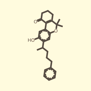 CC(CCCc1ccccc1)c1cc2c(cc1O)C1=C(CCCC1=O)C(C)(C)O2